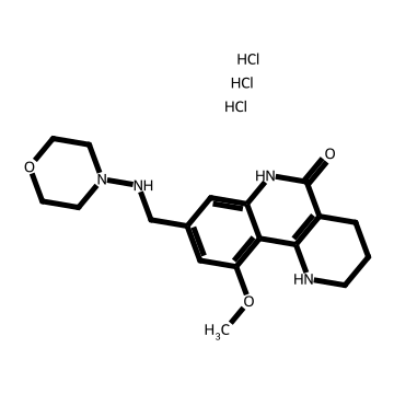 COc1cc(CNN2CCOCC2)cc2[nH]c(=O)c3c(c12)NCCC3.Cl.Cl.Cl